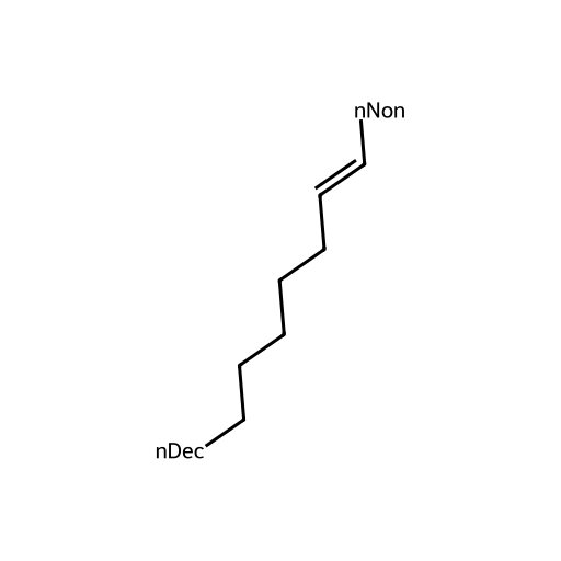 CCCCCCCCC/C=C/CCCCCCCCCCCCCCC